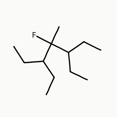 CCC(CC)C(C)(F)C(CC)CC